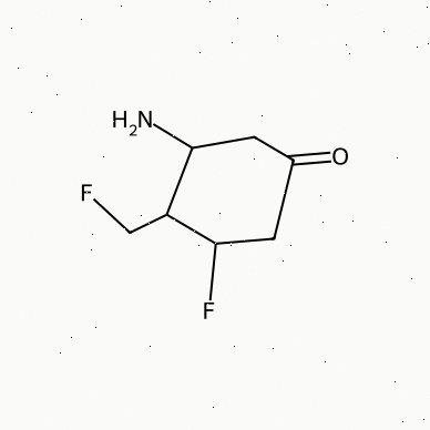 NC1CC(=O)CC(F)C1CF